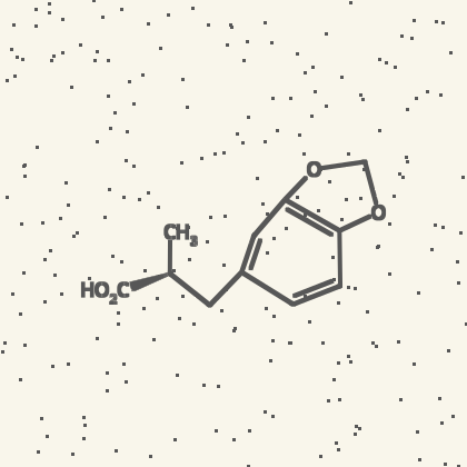 C[C@@H](Cc1ccc2c(c1)OCO2)C(=O)O